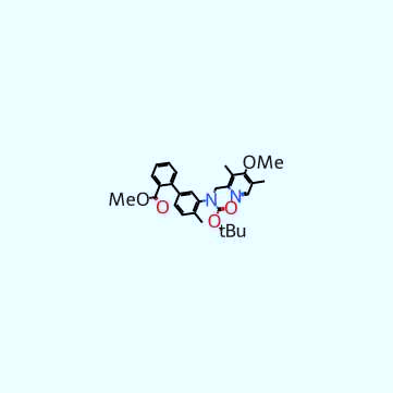 COC(=O)c1ccccc1-c1ccc(C)c(N(Cc2ncc(C)c(OC)c2C)C(=O)OC(C)(C)C)c1